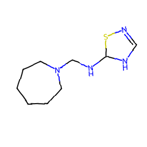 C1=NSC(NCN2CCCCCC2)N1